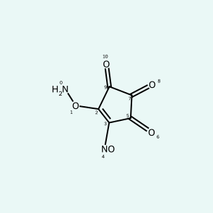 NOc1c(N=O)c(=O)c(=O)c1=O